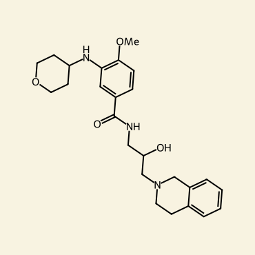 COc1ccc(C(=O)NCC(O)CN2CCc3ccccc3C2)cc1NC1CCOCC1